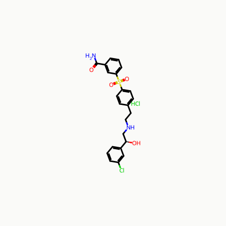 Cl.NC(=O)c1cccc(S(=O)(=O)c2ccc(CCNC[C@@H](O)c3cccc(Cl)c3)cc2)c1